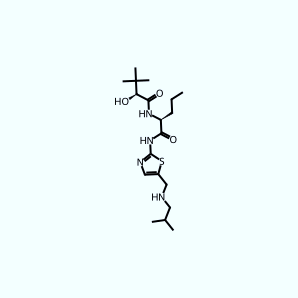 CCC[C@H](NC(=O)[C@@H](O)C(C)(C)C)C(=O)Nc1ncc(CNCC(C)C)s1